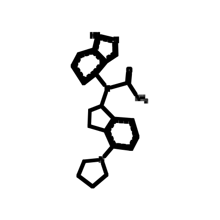 NC(=O)N(c1cccc2[nH]ncc12)C1CCc2c1cccc2N1CCCC1